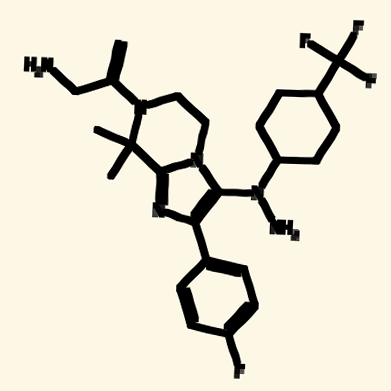 C=C(CN)N1CCn2c(nc(-c3ccc(F)cc3)c2N(N)C2CCC(C(F)(F)F)CC2)C1(C)C